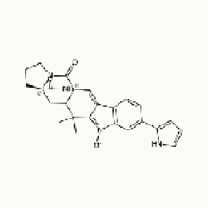 CC1(C)C2=[N+]([O-])c3cc(-c4ccc[nH]4)ccc3C2=C[C@@]23NC(=O)[C@]4(CCCN4C2=O)CC13